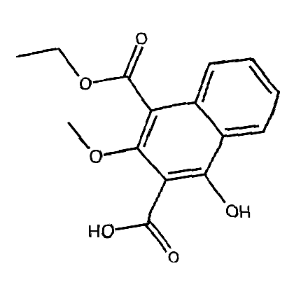 CCOC(=O)c1c(OC)c(C(=O)O)c(O)c2ccccc12